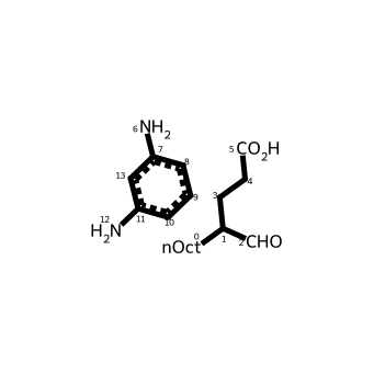 CCCCCCCCC(C=O)CCC(=O)O.Nc1cccc(N)c1